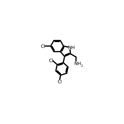 NCc1[nH]c2ccc(Cl)cc2c1-c1ccc(Cl)cc1Cl